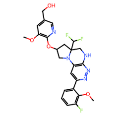 COc1cc(CO)cnc1OC1CN2c3cc(-c4cccc(F)c4OC)nnc3NCC2(C(F)F)C1